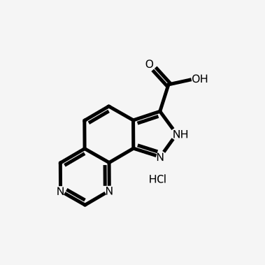 Cl.O=C(O)c1[nH]nc2c1ccc1cncnc12